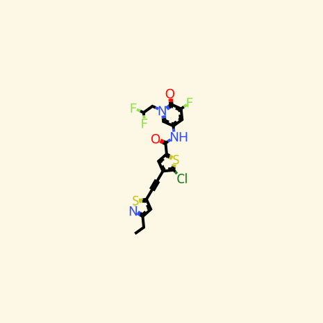 CCc1cc(C#Cc2cc(C(=O)Nc3cc(F)c(=O)n(CC(F)F)c3)sc2Cl)sn1